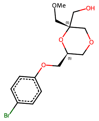 COC[C@@]1(CO)COC[C@@H](COc2ccc(Br)cc2)O1